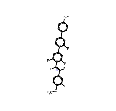 CCCc1ccc(-c2ccc(-c3cc(F)c(/C(F)=C(\F)c4ccc(OC(F)(F)F)c(F)c4)c(F)c3)c(F)c2)cc1